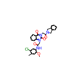 COc1cc(C)c(Cl)cc1NC(=O)Cn1c(=O)n(CC(=O)N2Cc3ccccc3C2)c(=O)c2ccccc21